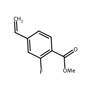 C=[C]c1ccc(C(=O)OC)c(F)c1